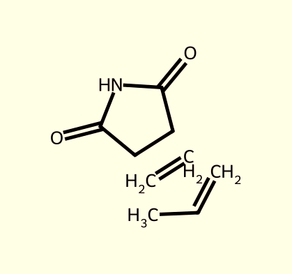 C=C.C=CC.O=C1CCC(=O)N1